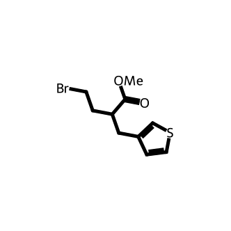 COC(=O)C(CCBr)Cc1ccsc1